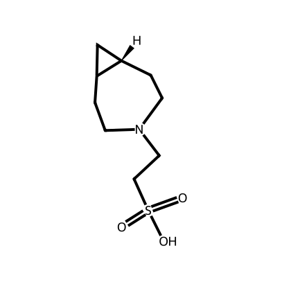 O=S(=O)(O)CCN1CCC2C[C@@H]2CC1